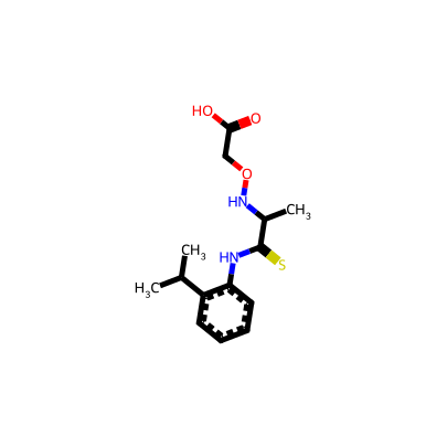 CC(NOCC(=O)O)C(=S)Nc1ccccc1C(C)C